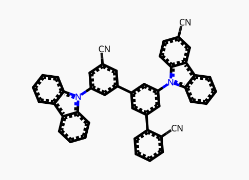 N#Cc1cc(-c2cc(-c3ccccc3C#N)cc(-n3c4ccccc4c4cc(C#N)ccc43)c2)cc(-n2c3ccccc3c3ccccc32)c1